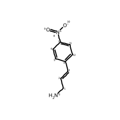 NC/C=C/c1ccc([N+](=O)[O-])cc1